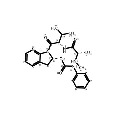 CN[C@@H](C)C(=O)N[C@H](C(=O)N1c2ncccc2C[C@H]1OC(=O)Nc1ccccc1)C(C)C